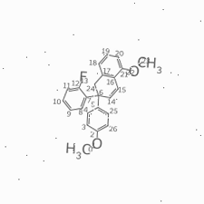 COc1ccc(C2(c3ccccc3F)C=Cc3c(cccc3OC)C2)cc1